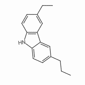 CCCc1ccc2[nH]c3ccc(CC)cc3c2c1